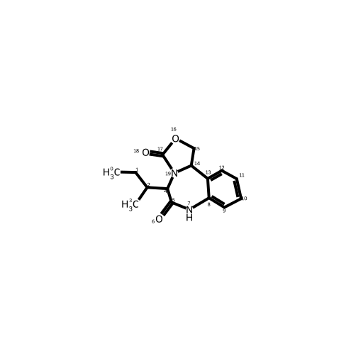 CCC(C)C1C(=O)Nc2ccccc2C2COC(=O)N21